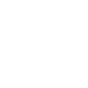 COCCOC(=O)C(=O)CS(=O)(=O)O